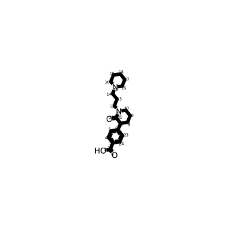 O=C(O)c1ccc(C2CCCN(CCCN3CCCCC3)C2=O)cc1